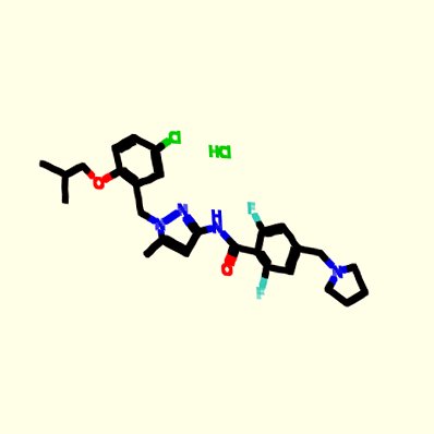 Cc1cc(NC(=O)c2c(F)cc(CN3CCCC3)cc2F)nn1Cc1cc(Cl)ccc1OCC(C)C.Cl